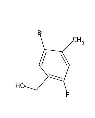 Cc1cc(F)c(CO)cc1Br